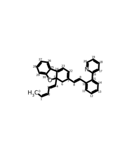 C/C=C\C=CC12CC(/C=C/c3ccccc3-c3ccccn3)=CC=C1c1ccccc1O2